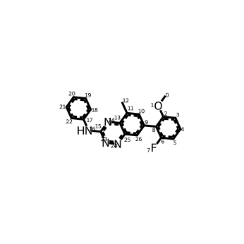 COc1cccc(F)c1-c1cc(C)c2nc(Nc3ccccc3)nnc2c1